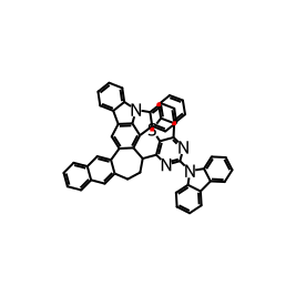 c1ccc2cc3c(cc2c1)CCC(c1nc(-n2c4ccccc4c4ccccc42)nc2c1sc1ccccc12)c1c-3cc2c3ccccc3n3c4ccccc4c1c23